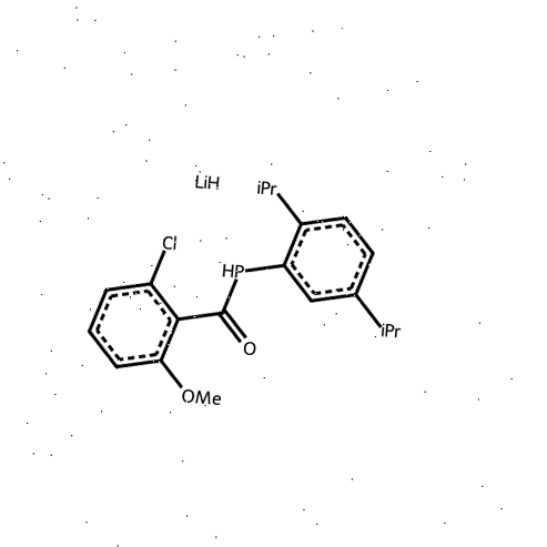 COc1cccc(Cl)c1C(=O)Pc1cc(C(C)C)ccc1C(C)C.[LiH]